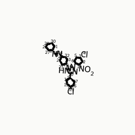 O=[N+]([O-])c1cc(Cl)ccc1N1N=C(c2ccc(Cl)cc2)NN1c1ccc(N=Nc2ccccc2)cc1